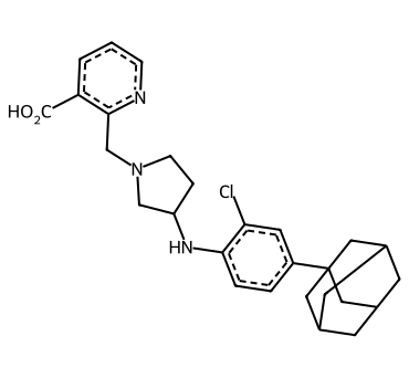 O=C(O)c1cccnc1CN1CCC(Nc2ccc(C34CC5CC(CC(C5)C3)C4)cc2Cl)C1